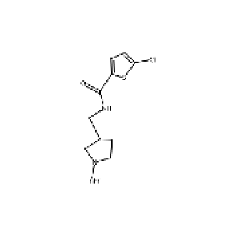 CCCN1CCC(CNC(=O)c2ccc(Cl)s2)C1